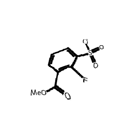 COC(=O)c1cccc(S(=O)(=O)Cl)c1F